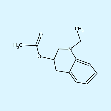 CCN1CC(OC(C)=O)Cc2ccccc21